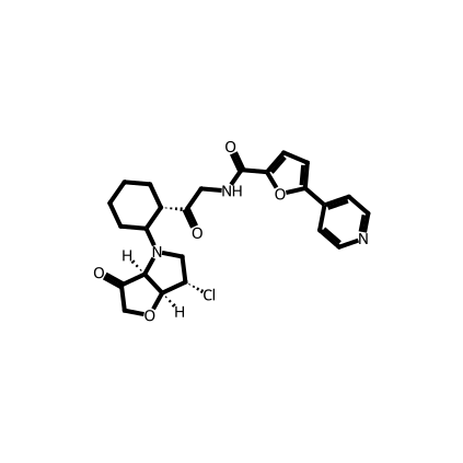 O=C(NCC(=O)[C@H]1CCCCC1N1C[C@H](Cl)[C@H]2OCC(=O)[C@H]21)c1ccc(-c2ccncc2)o1